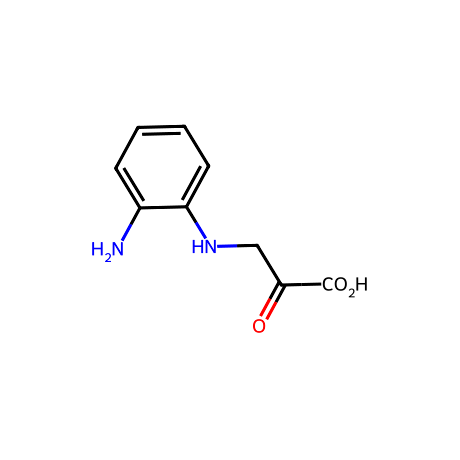 Nc1ccccc1NCC(=O)C(=O)O